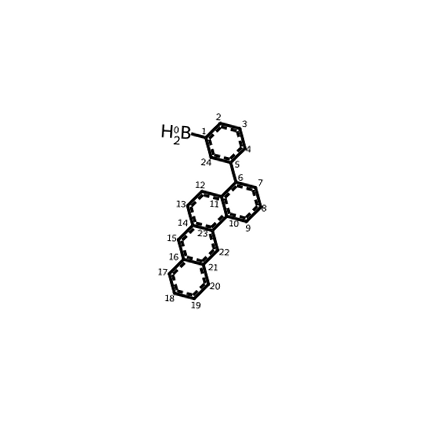 Bc1cccc(-c2cccc3c2ccc2cc4ccccc4cc23)c1